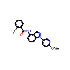 COc1ccc(-n2ncc3c(NC(=O)c4ccccc4C(F)(F)F)cccc32)cn1